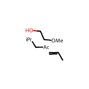 C=CC.CC(=O)CC(C)C.COCCO